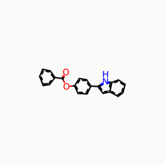 O=C(Oc1ccc(-c2cc3ccccc3[nH]2)cc1)c1ccccc1